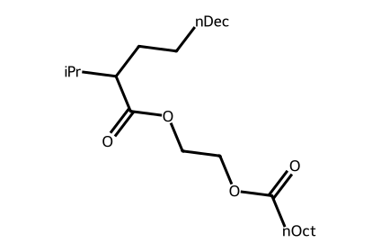 CCCCCCCCCCCCC(C(=O)OCCOC(=O)CCCCCCCC)C(C)C